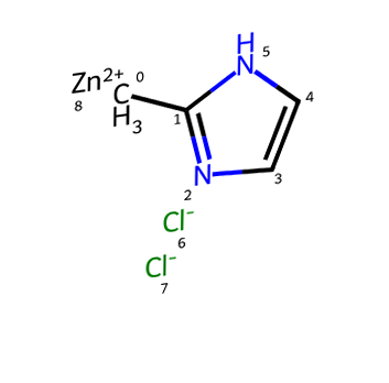 Cc1ncc[nH]1.[Cl-].[Cl-].[Zn+2]